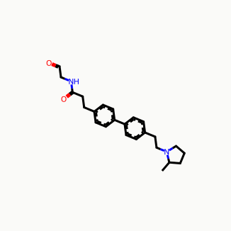 CC1CCCN1CCc1ccc(-c2ccc(CCC(=O)NCC=O)cc2)cc1